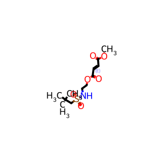 COC(=O)/C=C/C(=O)OCCNS(=O)(=O)CC(C)(C)C